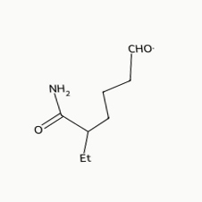 CCC(CCC[C]=O)C(N)=O